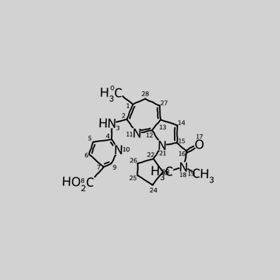 CC1=C(Nc2ccc(C(=O)O)cn2)N=c2c(cc(C(=O)N(C)C)n2C2CCCC2)=CC1